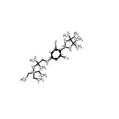 CC[Si](CC)(CC)OC(C)(C)COc1cc(F)c(B2OC(C)(C)C(C)(C)O2)c(F)c1